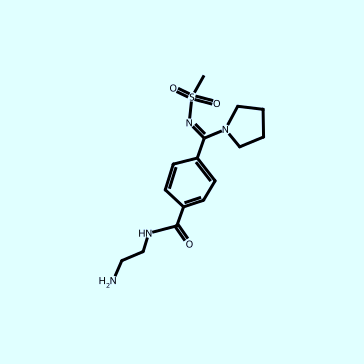 CS(=O)(=O)N=C(c1ccc(C(=O)NCCN)cc1)N1CCCC1